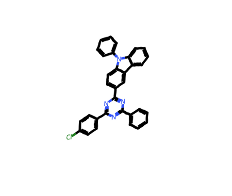 Clc1ccc(-c2nc(-c3ccccc3)nc(-c3ccc4c(c3)c3ccccc3n4-c3ccccc3)n2)cc1